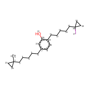 CCC1(CCCCCc2ccc(CCCCCC3(I)CC3)c(O)c2)CC1